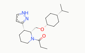 CCC(=O)N1CCC[C@H](c2cc[nH]n2)[C@@H]1CO[C@H]1CC[C@@H](C(C)C)CC1